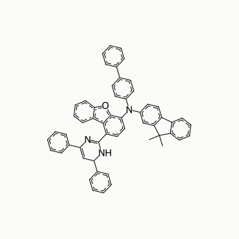 CC1(C)c2ccccc2-c2ccc(N(c3ccc(-c4ccccc4)cc3)c3ccc(C4=NC(c5ccccc5)=CC(c5ccccc5)N4)c4c3oc3ccccc34)cc21